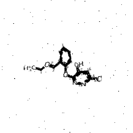 CCOCc1ccccc1Oc1nnc(Cl)cc1O